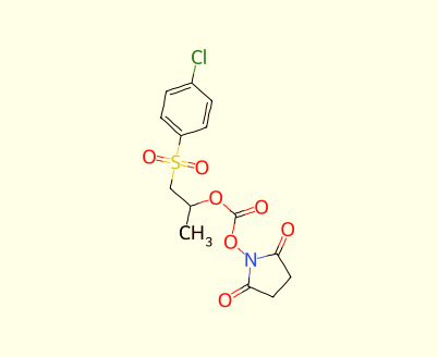 CC(CS(=O)(=O)c1ccc(Cl)cc1)OC(=O)ON1C(=O)CCC1=O